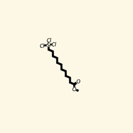 COC(=O)CCCCCCCCCCC[Si](Cl)(Cl)Cl